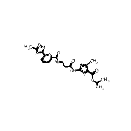 Cc1nc(-c2cccc(C(=O)NCCC(=O)Nc3nc(C)c(C(=O)OC(C)C)s3)n2)no1